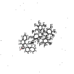 COc1ccc2ccccc2c1C([SH2+])c1c(OC)ccc2ccccc12.Fc1c(F)c(F)c(C[B-](Cc2c(F)c(F)c(F)c(F)c2F)(Cc2c(F)c(F)c(F)c(F)c2F)Cc2c(F)c(F)c(F)c(F)c2F)c(F)c1F